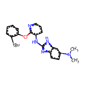 CN(C)c1ccc2nc(Nc3cccnc3Oc3ccccc3C(C)(C)C)[nH]c2c1